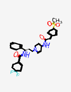 CS(=O)(=O)c1ccc(CC(=O)NC2CCN(CC[C@H](NC(=O)C3CCC(F)(F)CC3)c3ccccc3)CC2)cc1